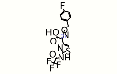 O=C(O)/C(=N\OCc1ccc(F)cc1)c1csc(NC(=O)C(F)(F)F)n1